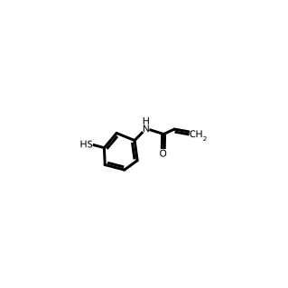 C=CC(=O)Nc1cccc(S)c1